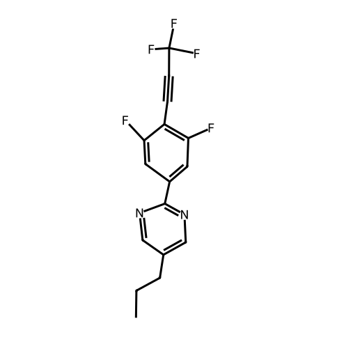 CCCc1cnc(-c2cc(F)c(C#CC(F)(F)F)c(F)c2)nc1